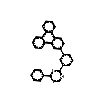 c1ccc(-c2ncnc(-c3cccc(-c4ccc5c6ccccc6c6ccccc6c5c4)c3)n2)cc1